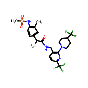 Cc1cc(C(C)C(=O)NCc2ccc(C(F)(F)F)nc2N2CCC(C(F)(F)F)CC2)ccc1NS(C)(=O)=O